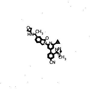 C[C@@H](NC1COC1)c1ccc2c(c1)C(=O)N(c1cc(-c3ccc(C#N)cc3-c3nncn3C)cc(C3CC3)n1)C2